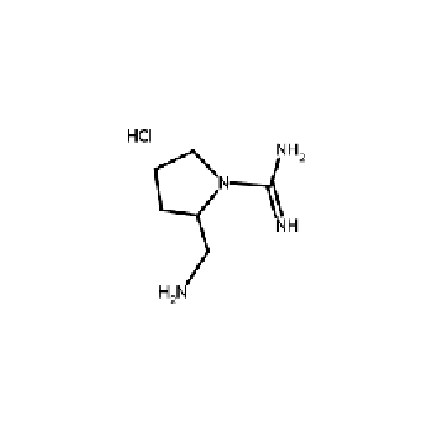 Cl.N=C(N)N1CCCC1CN